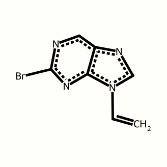 C=Cn1cnc2cnc(Br)nc21